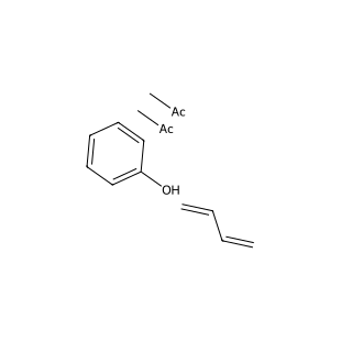 C=CC=C.CC(C)=O.CC(C)=O.Oc1ccccc1